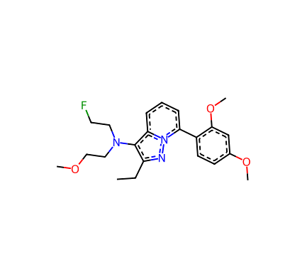 CCc1nn2c(-c3ccc(OC)cc3OC)cccc2c1N(CCF)CCOC